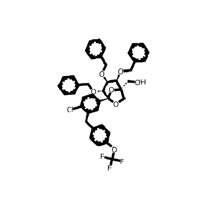 OC[C@]12CO[C@@](c3ccc(Cl)c(Cc4ccc(OC(F)(F)F)cc4)c3)(O1)[C@H](OCc1ccccc1)[C@@H](OCc1ccccc1)[C@H]2OCc1ccccc1